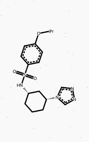 CC(C)Oc1ccc(S(=O)(=O)N[C@H]2CCC[C@@H](n3cnnc3)C2)cc1